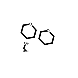 C1CCOCC1.C1CCOCC1.CC(C)(C)O